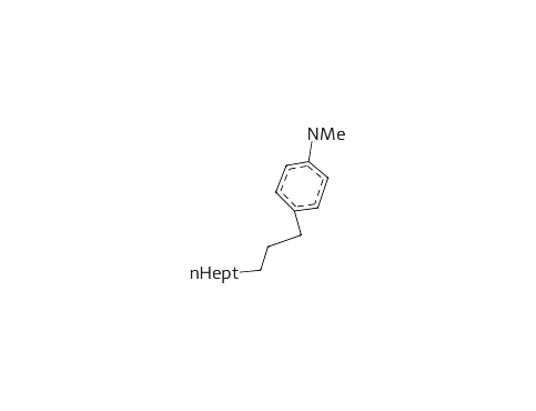 CCCCCCCCCCc1ccc(NC)cc1